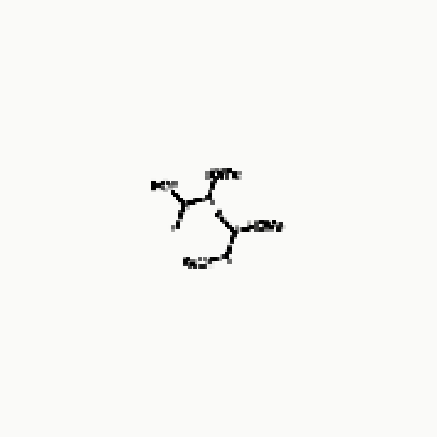 COC(C)COC(C)=O.COCC(C)O